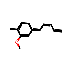 C=C/C=C\C=C1\C=C(OC)C(C)=CC1